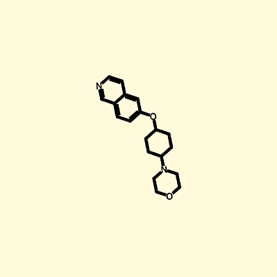 c1cc2cc(OC3CCC(N4CCOCC4)CC3)ccc2cn1